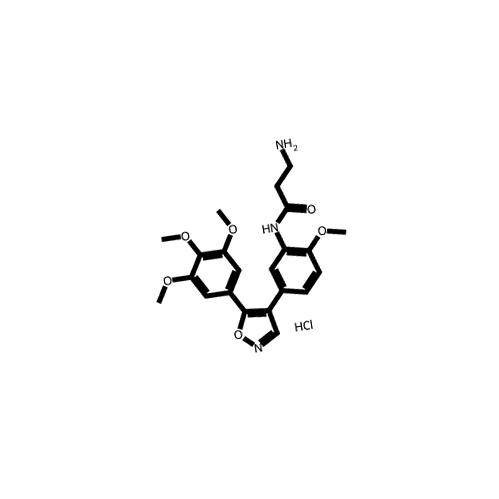 COc1ccc(-c2cnoc2-c2cc(OC)c(OC)c(OC)c2)cc1NC(=O)CCN.Cl